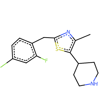 Cc1nc(Cc2ccc(F)cc2F)sc1C1CCNCC1